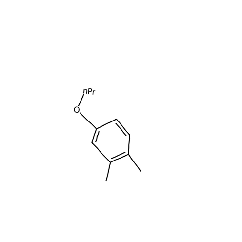 CCCOc1ccc(C)c(C)c1